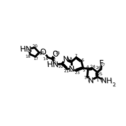 Nc1ncc(-c2ccc3nc(NC(=O)CO[C@@H]4CCNC4)cn3c2)cc1CF